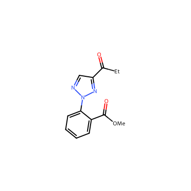 CCC(=O)c1cnn(-c2ccccc2C(=O)OC)n1